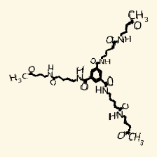 CC(=O)CCCNC(=O)CCCCNC(=O)c1cc(C(=O)NCCCCC(=O)NCCCC(C)=O)cc(C(=O)NCCCCC(=O)NCCCC(C)=O)c1